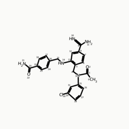 CC(=O)N(Cc1ccc(C(=N)N)cc1NCc1ccc(C(N)=O)cc1)c1cccc(Cl)c1